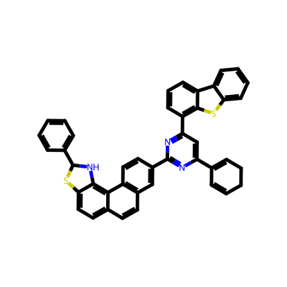 C1=CC(c2cc(-c3cccc4c3sc3ccccc34)nc(-c3ccc4c(ccc5ccc6c(c54)NC(c4ccccc4)S6)c3)n2)=CCC1